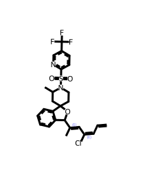 C=C/C=C(Cl)\C=C(/C)C1OC2(CCN(S(=O)(=O)c3ccc(C(F)(F)F)cn3)C(C)C2)c2ccccc21